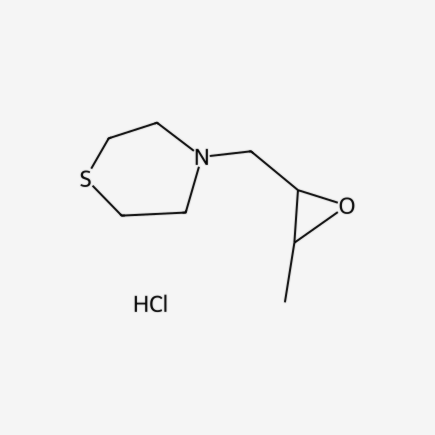 CC1OC1CN1CCSCC1.Cl